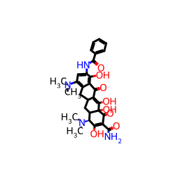 CN(C)c1cc(NC(=O)c2ccccc2)c(O)c2c1CC1CC3[C@H](N(C)C)C(O)=C(C(N)=O)C(=O)C3(O)C(O)=C1C2=O